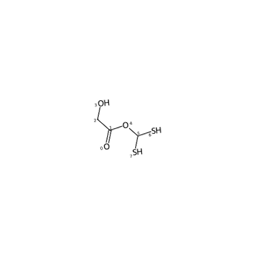 O=C(CO)OC(S)S